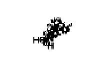 Cc1ccccc1/C=C1/CCCc2c1oc1ccc(NC(=O)C(=O)O)cc1c2=O